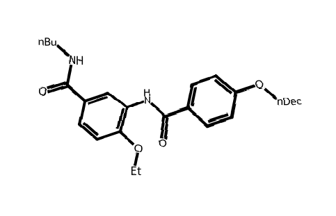 CCCCCCCCCCOc1ccc(C(=O)Nc2cc(C(=O)NCCCC)ccc2OCC)cc1